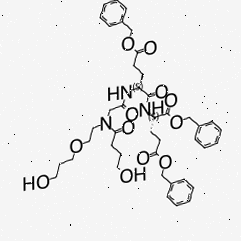 O=C(CN(CCOCCCO)C(=O)CCCO)N[C@@H](CCC(=O)OCc1ccccc1)C(=O)N[C@@H](CCC(=O)OCc1ccccc1)C(=O)OCc1ccccc1